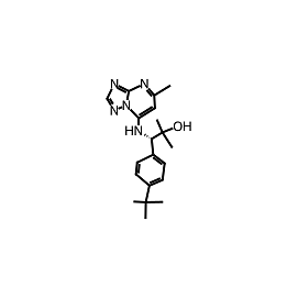 Cc1cc(N[C@@H](c2ccc(C(C)(C)C)cc2)C(C)(C)O)n2ncnc2n1